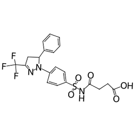 O=C(O)CCC(=O)NS(=O)(=O)c1ccc(N2N=C(C(F)(F)F)CC2c2ccccc2)cc1